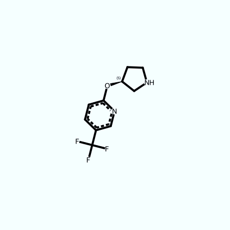 FC(F)(F)c1ccc(O[C@H]2CCNC2)nc1